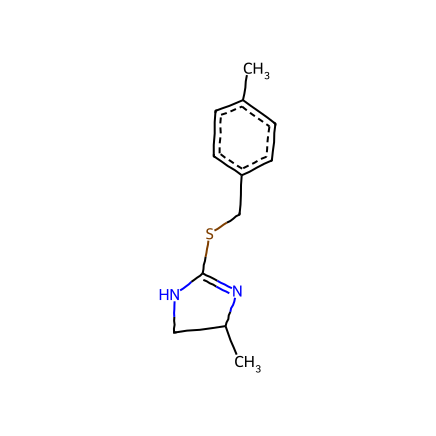 Cc1ccc(CSC2=NC(C)CN2)cc1